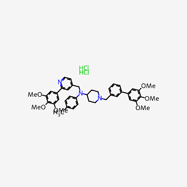 COc1cc(-c2cccc(CN3CCC(N(Cc4ccnc(-c5cc(OC)c(OC)c(OC)c5)c4)c4ccc(C)cc4)CC3)c2)cc(OC)c1OC.Cl.Cl